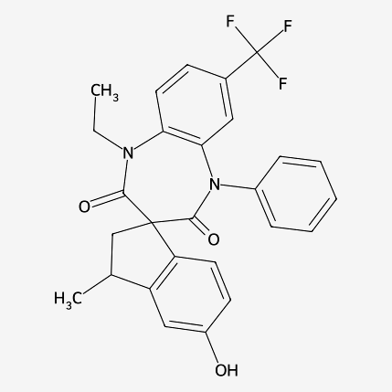 CCN1C(=O)C2(CC(C)c3cc(O)ccc32)C(=O)N(c2ccccc2)c2cc(C(F)(F)F)ccc21